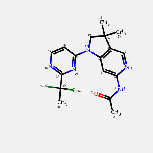 CC(=O)Nc1cc2c(cn1)C(C)(C)CN2c1ccnc(C(C)(F)F)n1